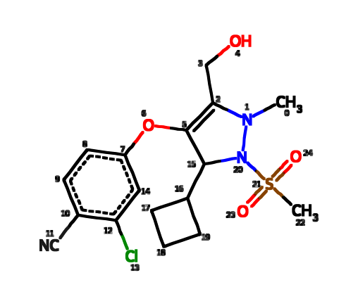 CN1C(CO)=C(Oc2ccc(C#N)c(Cl)c2)C(C2CCC2)N1S(C)(=O)=O